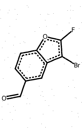 O=Cc1ccc2oc(F)c(Br)c2c1